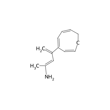 C=C(/C=C(\C)N)C1=C/C=C\CC/C=C\1